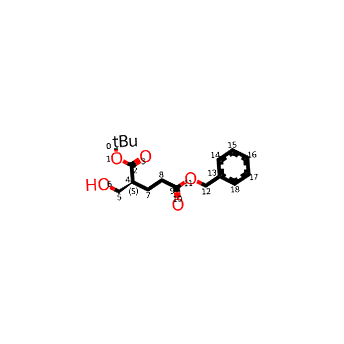 CC(C)(C)OC(=O)[C@H](CO)CCC(=O)OCc1ccccc1